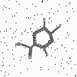 CCCC(=O)c1cc(F)c(F)cc1F